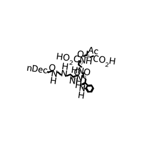 CCCCCCCCCCCC(=O)NCCNCC[C@H](N)C(=O)N[C@H](Cc1c[nH]c2ccccc12)C(=O)NCC[C@@H](NC(=O)[C@@H](CCC(=O)O)CC(C)=O)C(=O)O